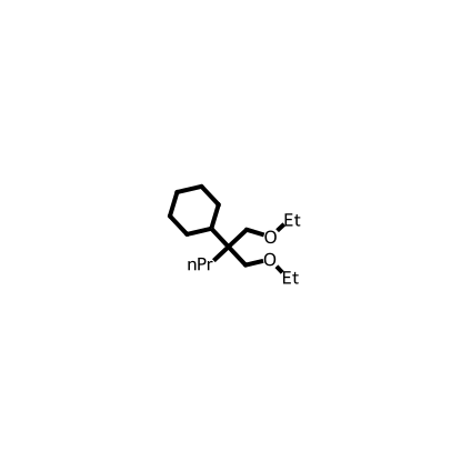 CCCC(COCC)(COCC)C1CCCCC1